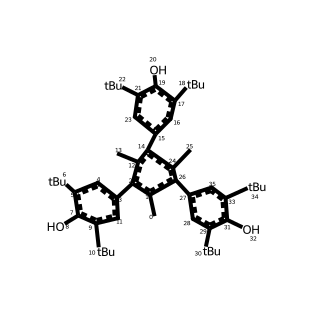 Cc1c(-c2cc(C(C)(C)C)c(O)c(C(C)(C)C)c2)c(C)c(-c2cc(C(C)(C)C)c(O)c(C(C)(C)C)c2)c(C)c1-c1cc(C(C)(C)C)c(O)c(C(C)(C)C)c1